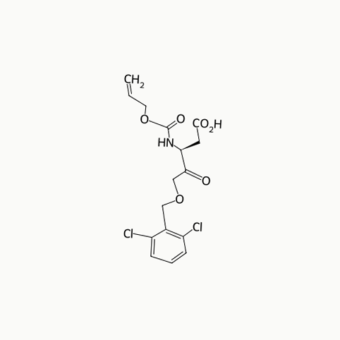 C=CCOC(=O)N[C@@H](CC(=O)O)C(=O)COCc1c(Cl)cccc1Cl